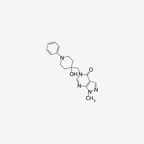 Cn1ncc2c(=O)n(CC3(O)CCN(c4ccccc4)CC3)cnc21